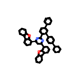 c1ccc(-c2ccc(-c3cc(-c4ccccc4)ccc3-c3nc(-c4cccc5c4oc4ccccc45)cc(-c4cccc5c4oc4ccccc45)n3)cc2)cc1